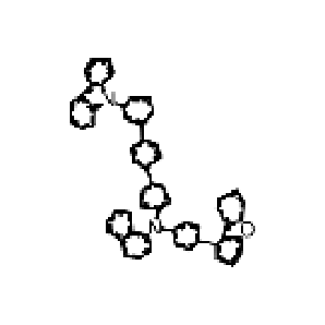 c1cc(-c2ccc(-c3ccc(N(c4ccc(-c5cccc6oc7ccccc7c56)cc4)c4cccc5ccccc45)cc3)cc2)cc(-n2c3ccccc3c3ccccc32)c1